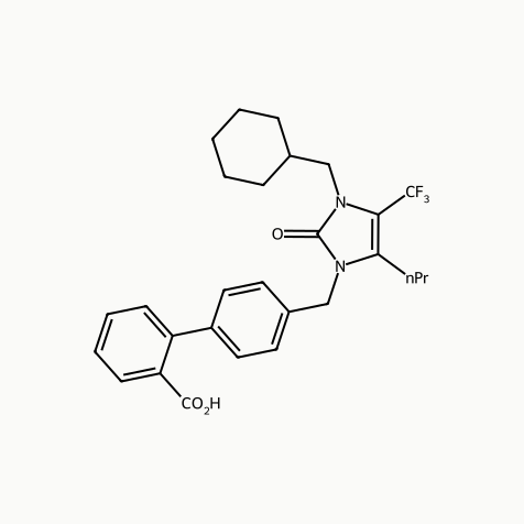 CCCc1c(C(F)(F)F)n(CC2CCCCC2)c(=O)n1Cc1ccc(-c2ccccc2C(=O)O)cc1